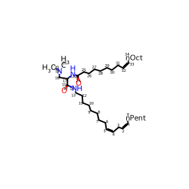 CCCCC/C=C\C/C=C\CCCCCCCCNC(=O)C(CN(C)C)NC(=O)CCCCCCC/C=C\CCCCCCCC